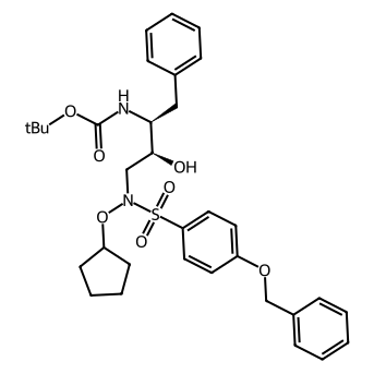 CC(C)(C)OC(=O)N[C@@H](Cc1ccccc1)[C@@H](O)CN(OC1CCCC1)S(=O)(=O)c1ccc(OCc2ccccc2)cc1